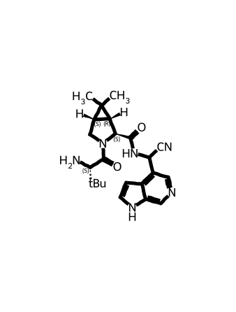 CC(C)(C)[C@H](N)C(=O)N1C[C@H]2[C@@H]([C@H]1C(=O)NC(C#N)c1cncc3[nH]ccc13)C2(C)C